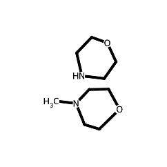 C1COCCN1.CN1CCOCC1